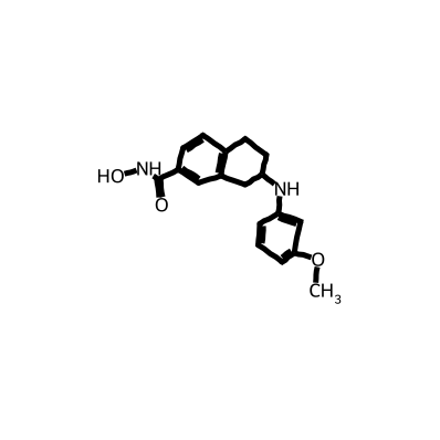 COc1cccc(NC2CCc3ccc(C(=O)NO)cc3C2)c1